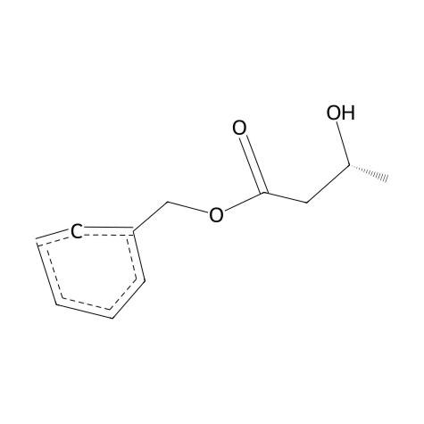 C[C@@H](O)CC(=O)OCc1ccccc1